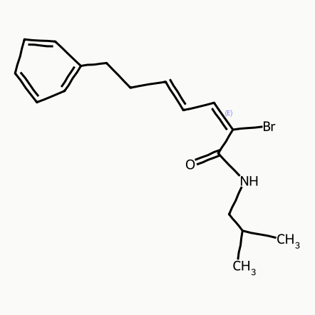 CC(C)CNC(=O)/C(Br)=C\C=CCCc1ccccc1